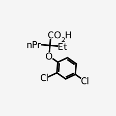 CCCC(CC)(Oc1ccc(Cl)cc1Cl)C(=O)O